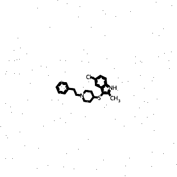 Cc1[nH]c2ccc(Cl)cc2c1SC1CCN(CCc2ccccc2)CC1